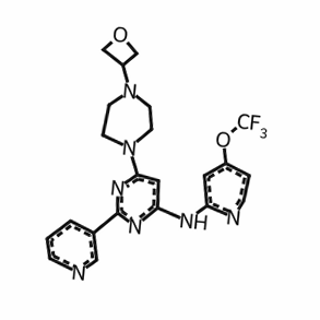 FC(F)(F)Oc1ccnc(Nc2cc(N3CCN(C4COC4)CC3)nc(-c3cccnc3)n2)c1